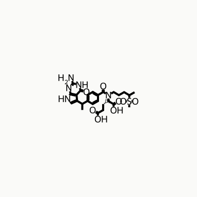 CC(c1ccc(C(=O)N(CCCC(C)S(C)(=O)=O)[C@@H](CCC(=O)O)C(=O)O)cc1)c1c[nH]c2nc(N)[nH]c(=O)c12